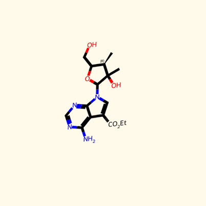 CCOC(=O)c1cn(C2OC(CO)[C@@H](C)C2(C)O)c2ncnc(N)c12